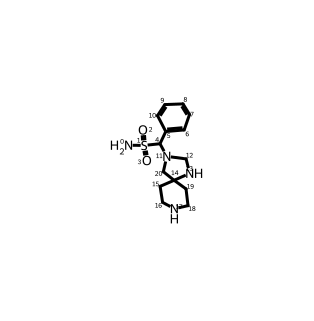 NS(=O)(=O)C(c1ccccc1)N1CNC2(CCNCC2)C1